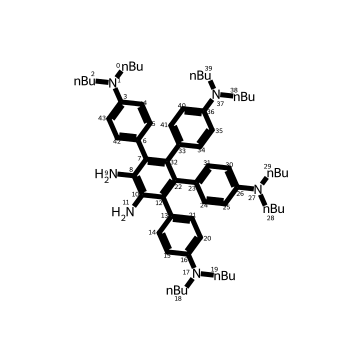 CCCCN(CCCC)c1ccc(-c2c(N)c(N)c(-c3ccc(N(CCCC)CCCC)cc3)c(-c3ccc(N(CCCC)CCCC)cc3)c2-c2ccc(N(CCCC)CCCC)cc2)cc1